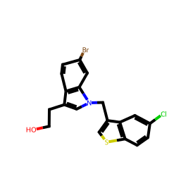 OCCc1cn(Cc2csc3ccc(Cl)cc23)c2cc(Br)ccc12